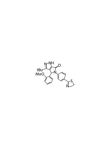 COc1ccccc1C1c2c(C(C)(C)C)n[nH]c2C(=O)N1c1ccc(C2=NCCS2)cc1